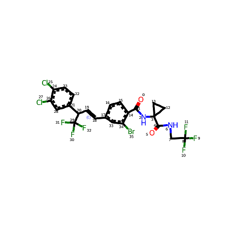 O=C(NC1(C(=O)NCC(F)(F)F)CC1)c1ccc(/C=C/C(c2ccc(Cl)c(Cl)c2)C(F)(F)F)cc1Br